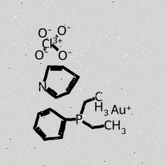 CCP(CC)c1ccccc1.[Au+].[O-][Cl+3]([O-])([O-])[O-].c1ccncc1